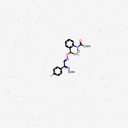 CCN(C(=O)OC)c1ccccc1C(C)ON=CC(=NOC)c1ccc(F)cc1